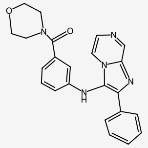 O=C(c1cccc(Nc2c(-c3ccccc3)nc3cnccn23)c1)N1CCOCC1